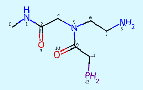 CNC(=O)CN(CCN)C(=O)CP